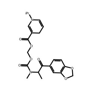 CC(C)N1C=CCC(C(=O)OCOC(=O)N(C)C(C)C(=O)c2ccc3c(c2)OCO3)=C1